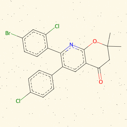 CC1(C)CC(=O)c2cc(-c3ccc(Cl)cc3)c(-c3ccc(Br)cc3Cl)nc2O1